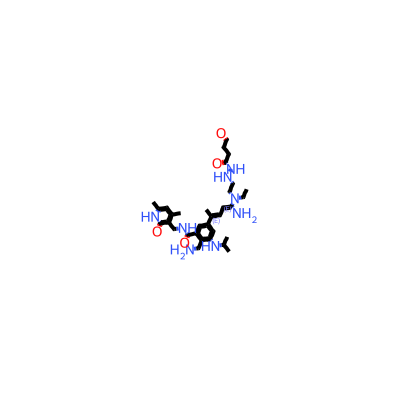 CCN(CCNNC(=O)CCC=O)/C(N)=C/C=C(\C)c1cc(NC(C)C)c(CN)c(C(=O)NCc2c(C)cc(C)[nH]c2=O)c1